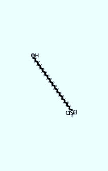 C[Si](Cl)(Cl)CCCCCCCCCCCCCCCCCCCCCCCCCCCCCCCCO